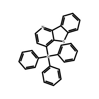 c1ccc([Si](c2ccccc2)(c2ccccc2)c2ccnc3c2sc2ccccc23)cc1